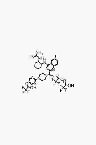 Cc1ccc2nc(C(=O)N3CCN(c4ncccn4)CC3)nc(NC3CCCCC3NC(=N)N)c2c1.O=C(O)C(F)(F)F.O=C(O)C(F)(F)F.O=C(O)C(F)(F)F